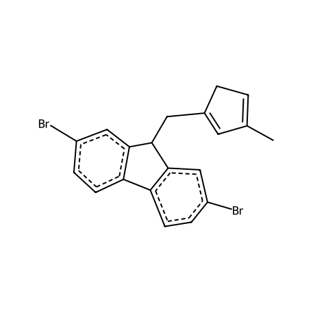 CC1=CCC(CC2c3cc(Br)ccc3-c3ccc(Br)cc32)=C1